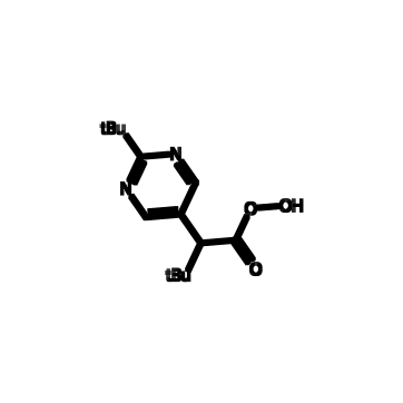 CC(C)(C)c1ncc(C(C(=O)OO)C(C)(C)C)cn1